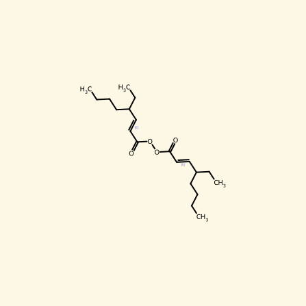 CCCCC(/C=C/C(=O)OOC(=O)/C=C/C(CC)CCCC)CC